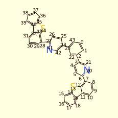 c1cc(-c2ccc(-c3cccc4c3sc3ccccc34)nc2)cc(-c2ccc(-c3cccc4c3sc3ccccc34)nc2)c1